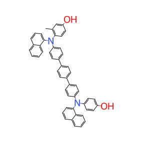 Cc1cc(O)ccc1N(c1ccc(-c2ccc(-c3ccc(N(c4ccc(O)cc4)c4cccc5ccccc45)cc3)cc2)cc1)c1cccc2ccccc12